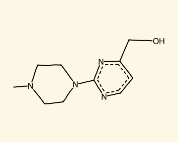 CN1CCN(c2nccc(CO)n2)CC1